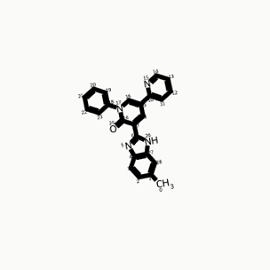 Cc1ccc2nc(-c3cc(-c4ccccn4)cn(-c4ccccc4)c3=O)[nH]c2c1